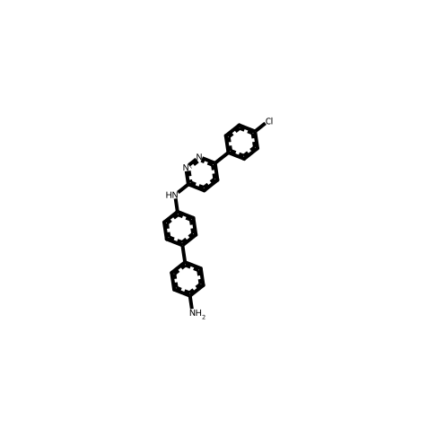 Nc1ccc(-c2ccc(Nc3ccc(-c4ccc(Cl)cc4)nn3)cc2)cc1